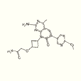 COc1ncc(-c2cc3c(C)nc(N)nc3n(C3CC(OCC(N)=O)C3)c2=O)cn1